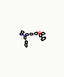 c1ccc(-c2ccc(Oc3ccc(-c4ccc(-c5ccc6c(c5)c5cc(-c7ccc8ccccc8c7)ccc5n6-c5cccc6ccccc56)cc4)cc3)c3ccccc23)cc1